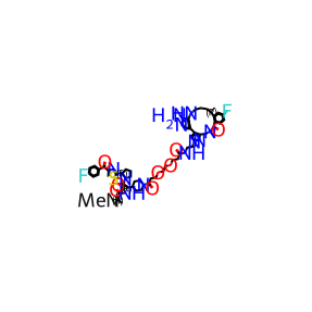 CN[C@H](C)C(=O)N[C@@H](C(=O)N1CCC[C@@H]1C1=NC(C(=O)c2ccc(F)cc2)CS1)C1CCN(C(=O)CCOCCOCCC(=O)NCCn2cc3c(n2)CN(C)C(=O)c2ccc(F)cc2[C@H](C)CCCNc2cc-3cnc2N)CC1